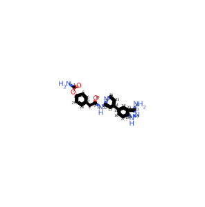 NC(=O)Oc1ccc(CC(=O)Nc2cc(-c3ccc4[nH]nc(N)c4c3)ccn2)cc1